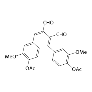 COc1cc(C=C(C=O)C(C=O)=Cc2ccc(OC(C)=O)c(OC)c2)ccc1OC(C)=O